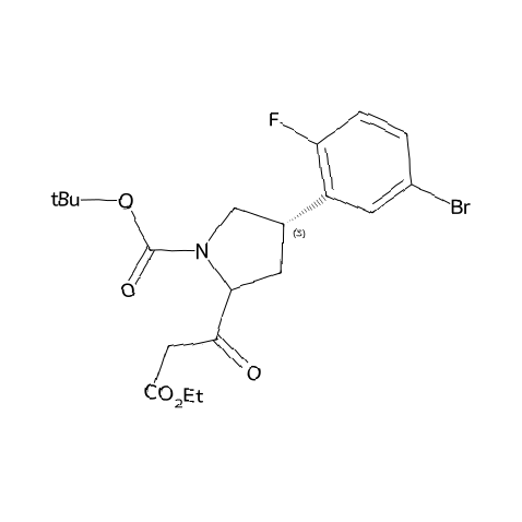 CCOC(=O)CC(=O)C1C[C@@H](c2cc(Br)ccc2F)CN1C(=O)OC(C)(C)C